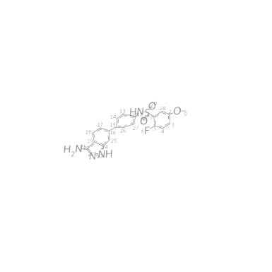 COc1ccc(F)c(S(=O)(=O)Nc2ccc(-c3ccc4c(N)n[nH]c4c3)cc2)c1